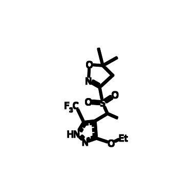 CCOc1n[nH]c(C(F)(F)F)c1C(C)S(=O)(=O)C1=NOC(C)(C)C1